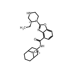 CC[C@H]1CNCCN1c1nc2c(C(=O)NC3CC4CCCC(C3)N4C)cccc2o1